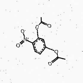 CC(=O)Oc1ccc([N+](=O)[O-])c(OC(C)=O)c1